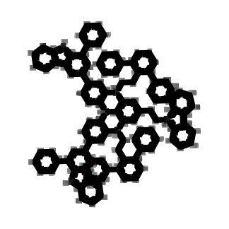 c1ccc(-c2cccc(-c3ccccc3)c2CCN2c3cc(-c4cc(-c5ccccc5)c5sc6ccccc6c5c4)ccc3B3c4ccc(-c5cc(-c6ccccc6)c6sc7ccccc7c6c5)cc4N(CCc4c(-c5ccccc5)cccc4-c4ccccc4)c4cc(CCn5c6ccccc6c6ccccc65)cc2c43)cc1